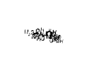 CC(N)C(=O)NNC(=O)[C@@H]1CC[C@@H]2CN1C(=O)N2OS(=O)(=O)O